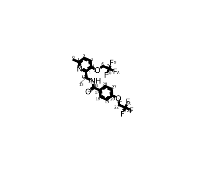 Cc1ccc(OCC(F)(F)F)c([C@@H](C)NC(=O)c2ccc(OCC(F)(F)F)cc2)n1